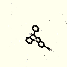 N#Cc1ccc2c(c1)cc1c(-c3ccccc3)nc3ccccc3n12